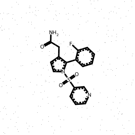 NC(=O)Cc1ccn(S(=O)(=O)c2cccnc2)c1-c1ccccc1F